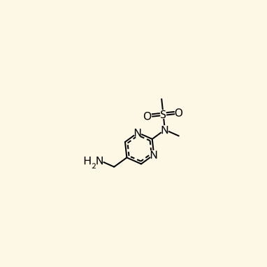 CN(c1ncc(CN)cn1)S(C)(=O)=O